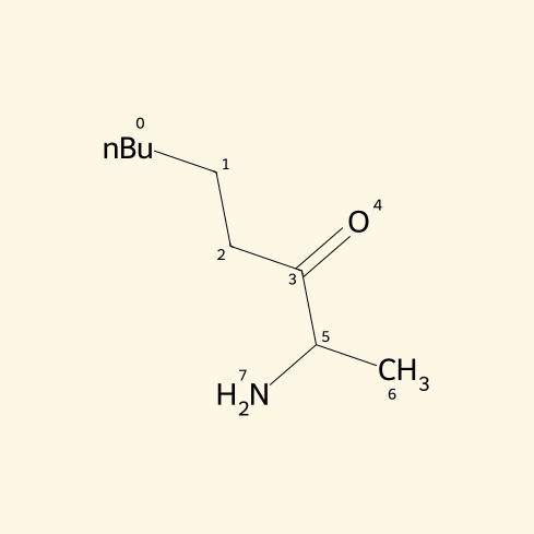 CCCCCCC(=O)C(C)N